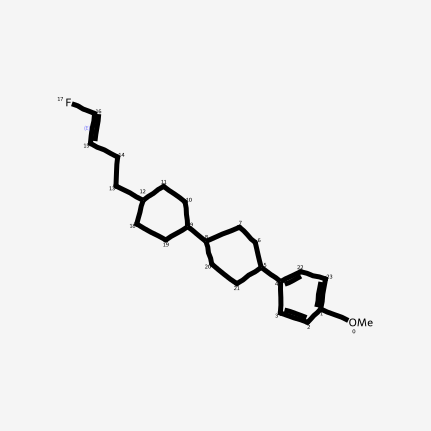 COc1ccc(C2CCC(C3CCC(CC/C=C/F)CC3)CC2)cc1